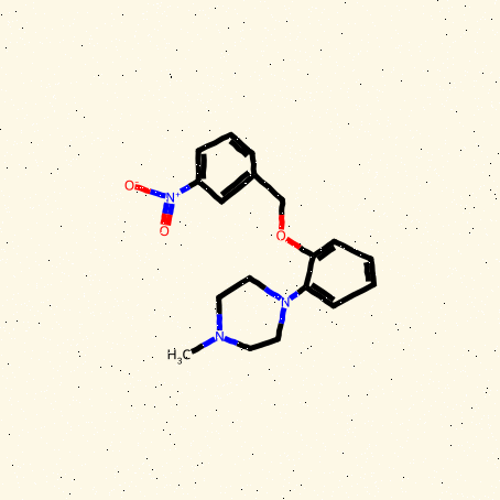 CN1CCN(c2ccccc2OCc2cccc([N+](=O)[O-])c2)CC1